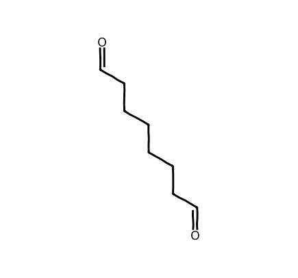 O=CCCCCCCC=O